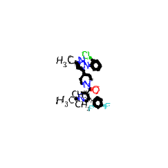 Cc1cc(C2CCN(C(=O)[C@@H]3CN(C(C)(C)C)C[C@H]3c3ccc(F)cc3F)CC2)n(-c2ccccc2Cl)n1